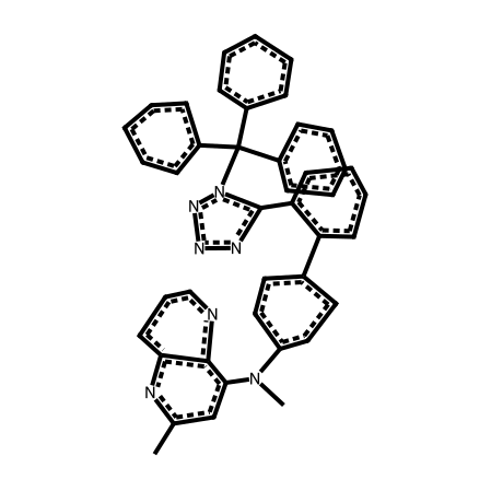 Cc1cc(N(C)c2ccc(-c3ccccc3-c3nnnn3C(c3ccccc3)(c3ccccc3)c3ccccc3)cc2)c2ncccc2n1